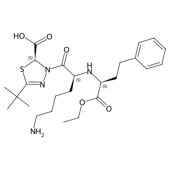 CCOC(=O)[C@H](CCc1ccccc1)N[C@@H](CCCCN)C(=O)N1N=C(C(C)(C)C)S[C@H]1C(=O)O